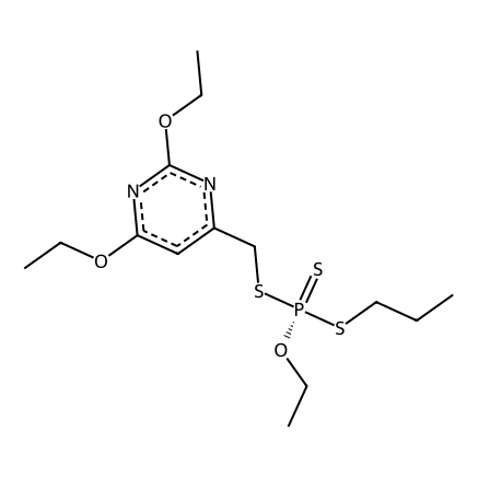 CCCS[P@@](=S)(OCC)SCc1cc(OCC)nc(OCC)n1